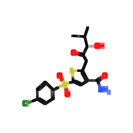 CC(C)[C@H](O)C(=O)Cc1sc(S(=O)(=O)c2ccc(Cl)cc2)cc1C(N)=O